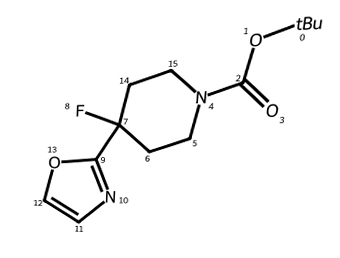 CC(C)(C)OC(=O)N1CCC(F)(c2ncco2)CC1